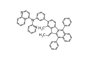 C/C=C1\c2c(ccc(-c3cccc(N(c4ccccn4)c4ccnc5ccccc45)c3)c2C)-c2c1c(-c1ccccc1)c1ccccc1c2-c1ccccc1